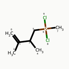 C=C(C)C(C)CS(C)(Cl)Cl